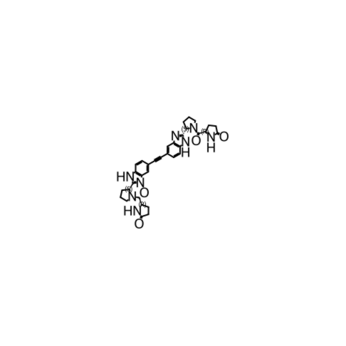 O=C1CC[C@H](C(=O)N2CCC[C@H]2c2nc3cc(C#Cc4ccc5[nH]c([C@@H]6CCCN6C(=O)[C@H]6CCC(=O)N6)nc5c4)ccc3[nH]2)N1